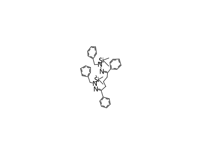 C[Si](C)(C)N(Cc1ccccc1)N=C(CCCC(=NN(Cc1ccccc1)[Si](C)(C)C)c1ccccc1)c1ccccc1